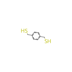 SCc1ccc(CS)cc1